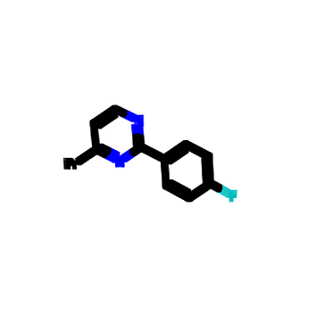 CC(C)c1ccnc(-c2ccc(F)cc2)n1